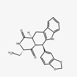 NC[C@@H]1NC(=O)[C@H]2Cc3c([nH]c4ccccc34)[C@@H](c3ccc4c(c3)OCO4)N2C1=O